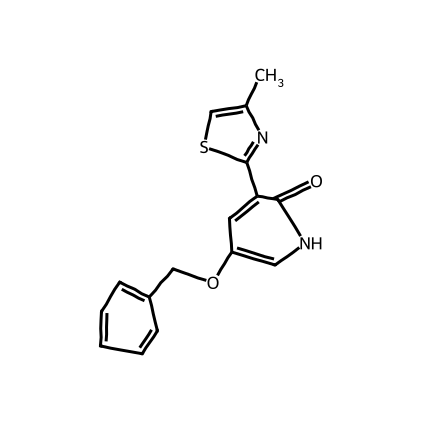 Cc1csc(-c2cc(OCc3ccccc3)c[nH]c2=O)n1